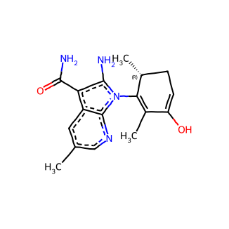 CC1=C(n2c(N)c(C(N)=O)c3cc(C)cnc32)[C@H](C)CC=C1O